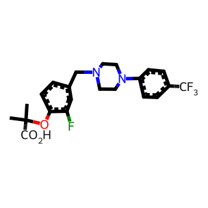 CC(C)(Oc1ccc(CN2CCN(c3ccc(C(F)(F)F)cc3)CC2)cc1F)C(=O)O